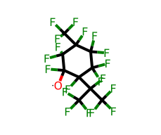 [O]C1(F)C(F)(F)C(F)(C(F)(F)F)C(F)(F)C(F)(F)C1(F)C(F)(C(F)(F)F)C(F)(F)F